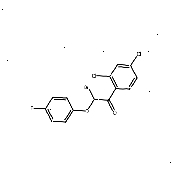 O=C(c1ccc(Cl)cc1Cl)C(Br)Oc1ccc(F)cc1